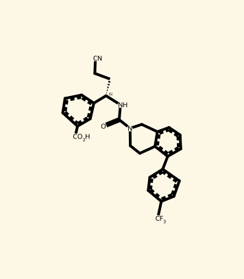 N#CCC[C@H](NC(=O)N1CCc2c(cccc2-c2ccc(C(F)(F)F)cc2)C1)c1cccc(C(=O)O)c1